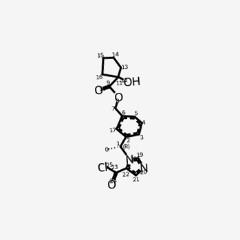 C[C@H](c1cccc(COC(=O)C2(O)CCCC2)c1)n1cncc1C(=O)Cl